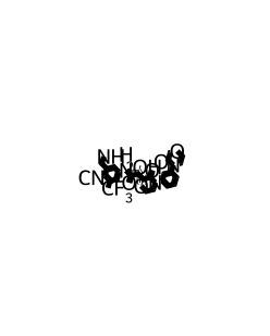 [C-]#[N+]c1c(CN)cc(NC(=O)[C@H](O)[C@H]2OCCN(c3cccc(N4CCOCC4=O)c3)C2=O)cc1C(F)(F)F